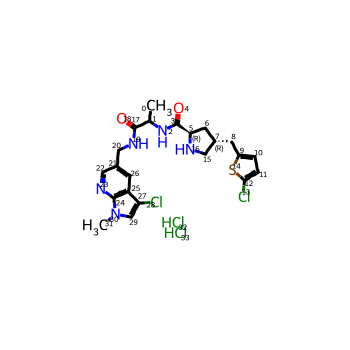 CC(NC(=O)[C@H]1C[C@H](Cc2ccc(Cl)s2)CN1)C(=O)NCc1cnc2c(c1)c(Cl)cn2C.Cl.Cl